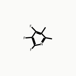 Cc1nc(F)c(F)c(F)c1C